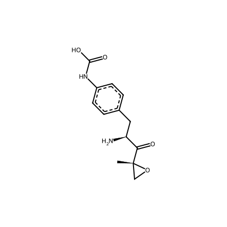 C[C@]1(C(=O)[C@@H](N)Cc2ccc(NC(=O)O)cc2)CO1